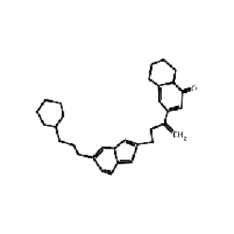 C=C(CCC1=CC2C=C(CCCC3CCCCC3)C=CC2=C1)C1=CC(=O)C2CCCCC2=C1